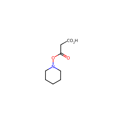 O=C(O)CC(=O)ON1CCCCC1